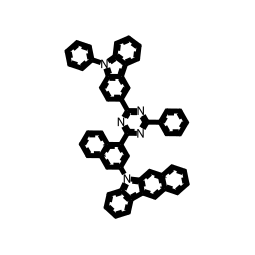 c1ccc(-c2nc(-c3ccc4c(c3)c3ccccc3n4-c3ccccc3)nc(-c3cc(-n4c5ccccc5c5cc6ccccc6cc54)cc4ccccc34)n2)cc1